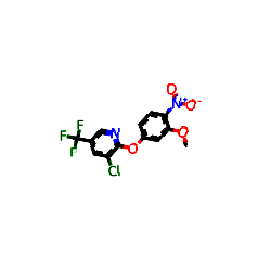 COc1cc(Oc2ncc(C(F)(F)F)cc2Cl)ccc1[N+](=O)[O-]